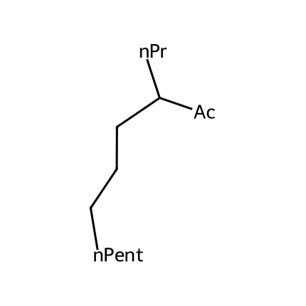 CCCCCCCCC(CCC)C(C)=O